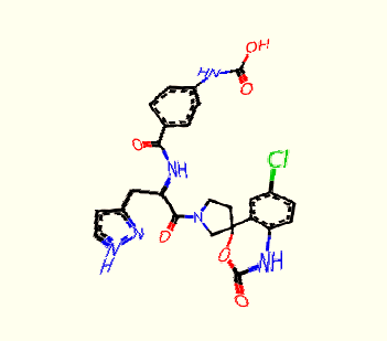 O=C(O)Nc1ccc(C(=O)NC(Cc2cc[nH]n2)C(=O)N2CCC3(C2)OC(=O)Nc2ccc(Cl)cc23)cc1